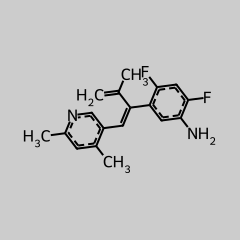 C=C(C)/C(=C\c1cnc(C)cc1C)c1cc(N)c(F)cc1F